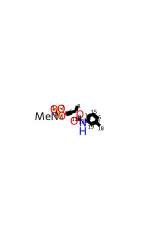 CNS(=O)(=O)OC#CC(C)OC(=O)Nc1cccc(C)c1